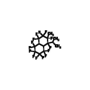 CC(C)C1(F)C2C(C(F)(F)C(F)(F)C1(C)F)C(F)(F)C(F)(F)C(F)(F)C2(F)F